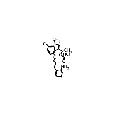 C[C@H](OC=O)c1cn(C)c2c(Cl)ccc(OCCCc3ccccc3N)c12.Cl